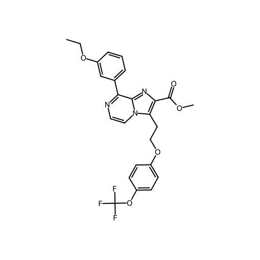 CCOc1cccc(-c2nccn3c(CCOc4ccc(OC(F)(F)F)cc4)c(C(=O)OC)nc23)c1